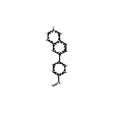 COc1ccc(-c2ccc3cnccc3c2)cc1